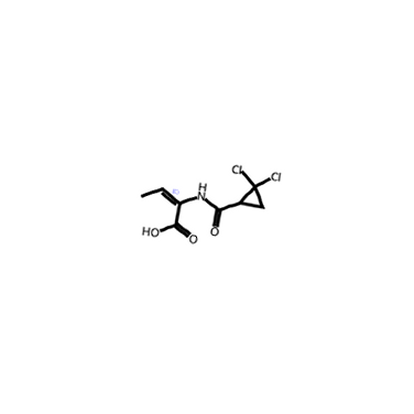 C/C=C(/NC(=O)C1CC1(Cl)Cl)C(=O)O